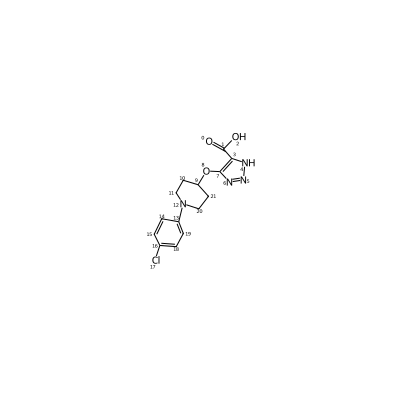 O=C(O)c1[nH]nnc1OC1CCN(c2ccc(Cl)cc2)CC1